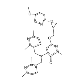 COc1ccc([C@@H]2CC2COc2cc(N(Cc3ccc(C)nc3C)Cc3ccc(C)nc3C)c(=O)n(C)n2)nc1